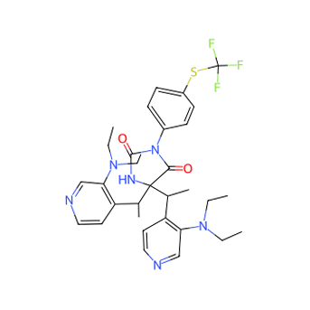 CCN(CC)c1cnccc1C(C)C1(C(C)c2ccncc2N(CC)CC)NC(=O)N(c2ccc(SC(F)(F)F)cc2)C1=O